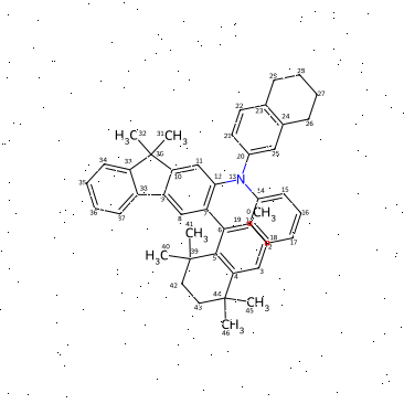 Cc1ccc2c(c1-c1cc3c(cc1N(c1ccccc1)c1ccc4c(c1)CCCC4)C(C)(C)c1ccccc1-3)C(C)(C)CCC2(C)C